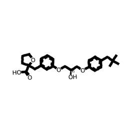 CC(C)(C)Cc1ccc(OC[C@@H](O)COc2cccc(CC3(C(=O)O)CCCO3)c2)cc1